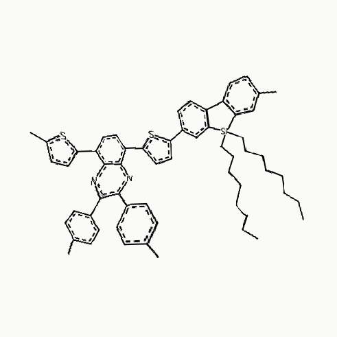 CCCCCCCC[Si]1(CCCCCCCC)c2cc(C)ccc2-c2ccc(-c3ccc(-c4ccc(-c5ccc(C)s5)c5nc(-c6ccc(C)cc6)c(-c6ccc(C)cc6)nc45)s3)cc21